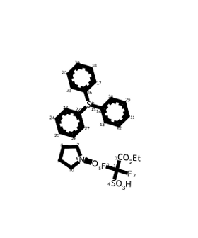 CCOC(=O)C(F)(F)S(=O)(=O)O.O=[N+]1CCCC1.c1ccc([S+](c2ccccc2)c2ccccc2)cc1